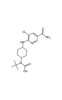 CC(C)(C)N(C(=O)O)C1CCC(Nc2ncc(C(N)=O)cc2Cl)CC1